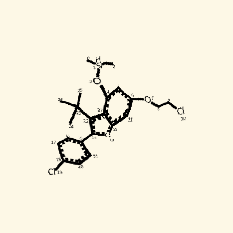 C[SiH](C)Oc1cc(OCCCl)cc2oc(-c3ccc(Cl)cc3)c(C(C)(C)C)c12